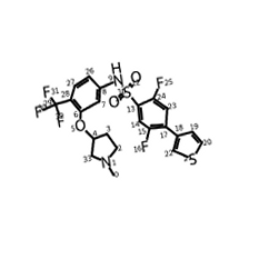 CN1CCC(Oc2cc(NS(=O)(=O)c3cc(F)c(-c4ccsc4)cc3F)ccc2C(F)(F)F)C1